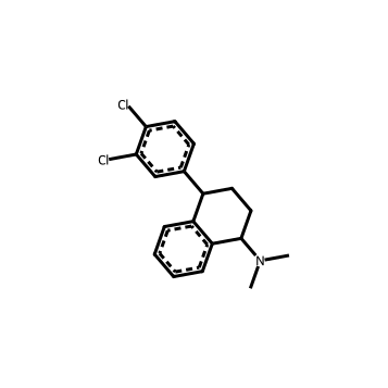 CN(C)C1CCC(c2ccc(Cl)c(Cl)c2)c2ccccc21